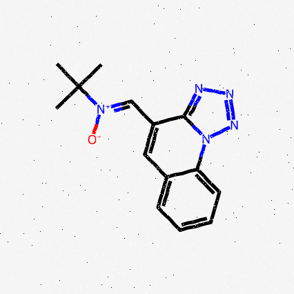 CC(C)(C)/[N+]([O-])=C/c1cc2ccccc2n2nnnc12